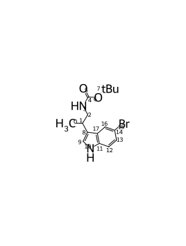 CC(CNC(=O)OC(C)(C)C)c1c[nH]c2ccc(Br)cc12